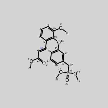 COC(=O)/C=C/c1cccc(OC)c1Oc1cccc(CP(=O)(OC)OC)c1